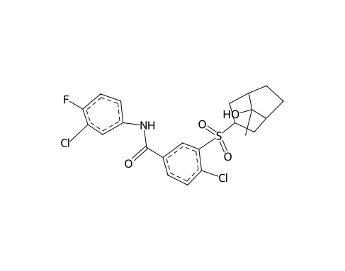 CC1(O)C2CCC1CC(S(=O)(=O)c1cc(C(=O)Nc3ccc(F)c(Cl)c3)ccc1Cl)C2